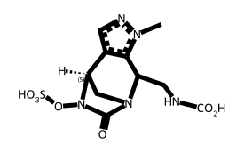 Cn1ncc2c1C(CNC(=O)O)N1C[C@H]2N(OS(=O)(=O)O)C1=O